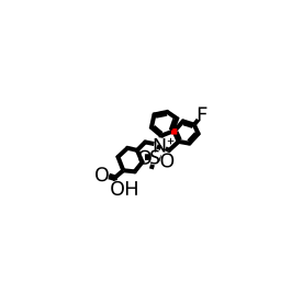 CS(=O)(=O)[N+](Cc1ccc(F)cc1)(CC1CCC(C(=O)O)CC1)c1ccccc1